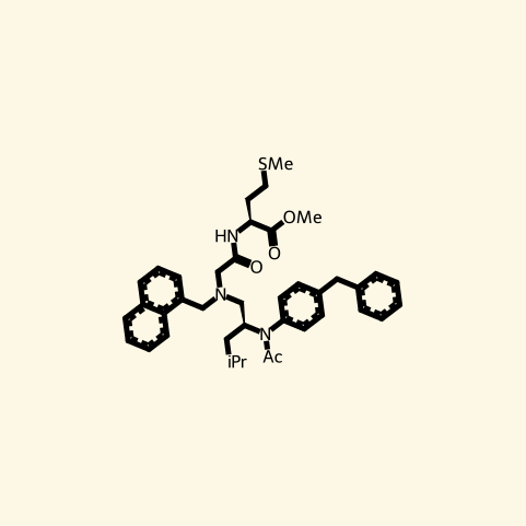 COC(=O)[C@H](CCSC)NC(=O)CN(Cc1cccc2ccccc12)C[C@H](CC(C)C)N(C(C)=O)c1ccc(Cc2ccccc2)cc1